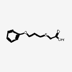 O=C(O)CSCCCOc1ccccc1